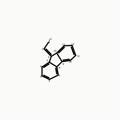 IC=C1c2ccccc2-c2ccccc21